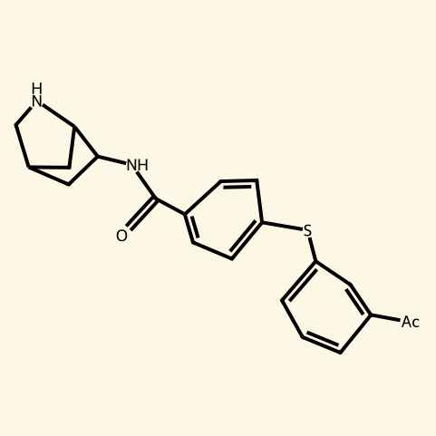 CC(=O)c1cccc(Sc2ccc(C(=O)NC3CC4CNC3C4)cc2)c1